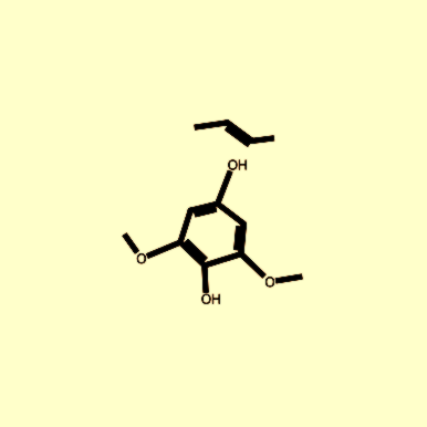 CC=CC.COc1cc(O)cc(OC)c1O